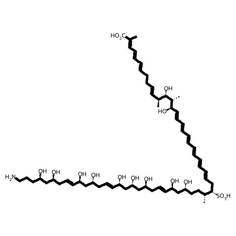 C\C(=C/C=C/C=C/CC/C=C/[C@H](C)[C@H](O)[C@H](C)[C@H](O)/C=C/C=C/C=C/C=C/C=C/C=C/C[C@@H]([C@H](C)CC[C@@H](O)C[C@H](O)/C=C/C[C@H](O)C[C@@H](O)C[C@@H](O)/C=C/C[C@@H](O)C[C@H](O)/C=C/C[C@H](O)C[C@H](O)CCCN)S(=O)(=O)O)C(=O)O